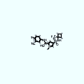 Cn1cc(S(=O)(=O)NC2(C(F)(F)F)CCC2)cc1C(O)Nc1ccc(F)c(C#N)c1